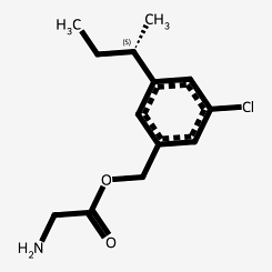 CC[C@H](C)c1cc(Cl)cc(COC(=O)CN)c1